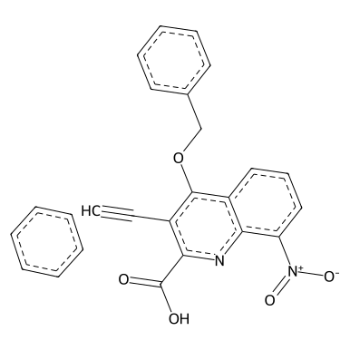 C#Cc1c(C(=O)O)nc2c([N+](=O)[O-])cccc2c1OCc1ccccc1.c1ccccc1